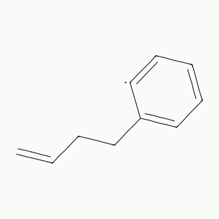 C=CCCc1[c]cccc1